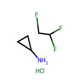 Cl.FCC(F)F.NC1CC1